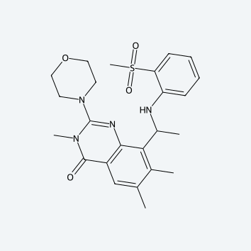 Cc1cc2c(=O)n(C)c(N3CCOCC3)nc2c(C(C)Nc2ccccc2S(C)(=O)=O)c1C